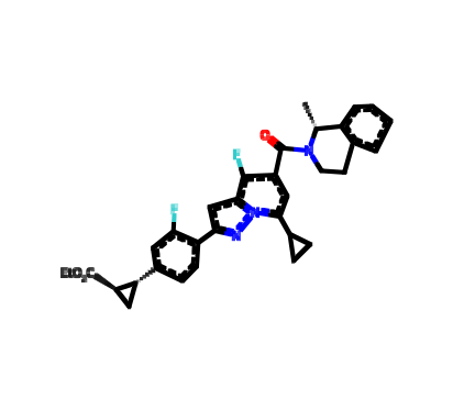 CCOC(=O)[C@@H]1C[C@H]1c1ccc(-c2cc3c(F)c(C(=O)N4CCc5ccccc5[C@H]4C)cc(C4CC4)n3n2)c(F)c1